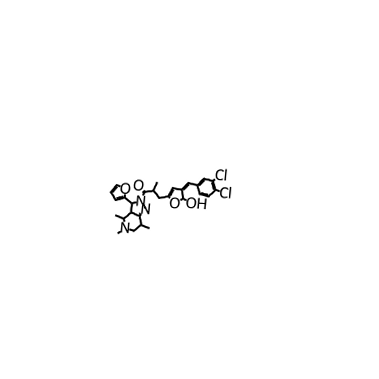 CC(CC1=C/C(=C/c2ccc(Cl)c(Cl)c2)C(O)O1)C(=O)N1N=C2C(C)CN(C)C(C)C2C1c1ccco1